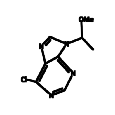 COC(C)n1cnc2c(Cl)ncnc21